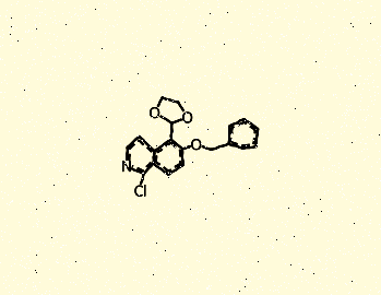 Clc1nccc2c(C3OCCO3)c(OCc3ccccc3)ccc12